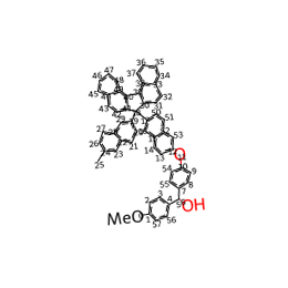 COc1ccc(C(O)c2ccc(Oc3ccc4cc(C5(c6ccc7cc(C)ccc7c6)c6ccc7ccccc7c6-c6c5ccc5ccccc65)ccc4c3)cc2)cc1